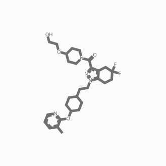 Cc1cccnc1OC1CCC(CCn2nc(C(=O)N3CCC(OCCO)CC3)c3c2CCC(F)(F)C3)CC1